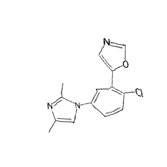 Cc1cn(-c2ccc(Cl)c(-c3cnco3)c2)c(C)n1